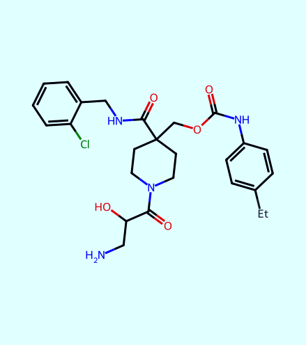 CCc1ccc(NC(=O)OCC2(C(=O)NCc3ccccc3Cl)CCN(C(=O)C(O)CN)CC2)cc1